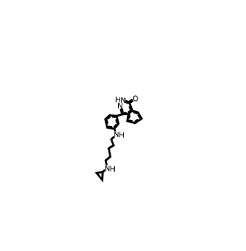 O=c1[nH]nc(-c2cccc(NCCCCCNC3CC3)c2)c2ccccc12